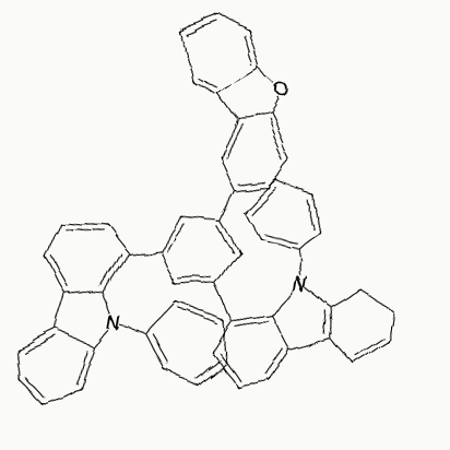 C1=Cc2c(n(-c3ccccc3)c3c(-c4cc(-c5ccc6oc7ccccc7c6c5)cc(-c5cccc6c7ccccc7n(-c7ccccc7)c56)c4)cccc23)CC1